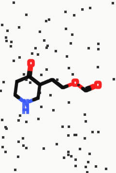 O=COCCC1CNCCC1=O